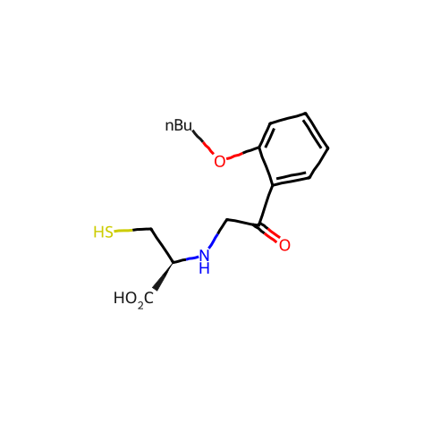 CCCCOc1ccccc1C(=O)CN[C@H](CS)C(=O)O